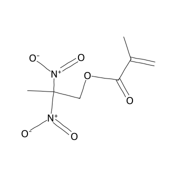 C=C(C)C(=O)OCC(C)([N+](=O)[O-])[N+](=O)[O-]